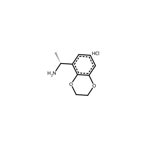 C[C@@H](N)c1cccc2c1OCCO2.Cl